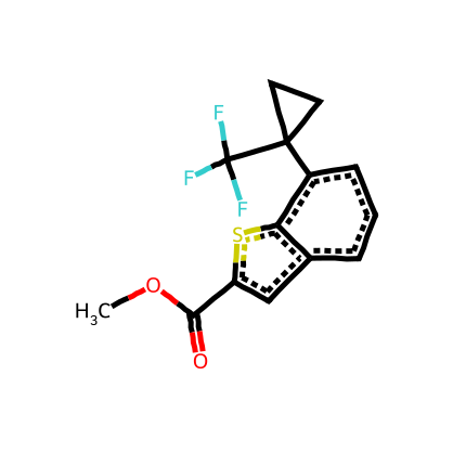 COC(=O)c1cc2cccc(C3(C(F)(F)F)CC3)c2s1